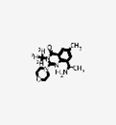 [2H]C([2H])([2H])n1c(N2CCOCC2)nc2c([C@@H](C)N)cc(C)cc2c1=O